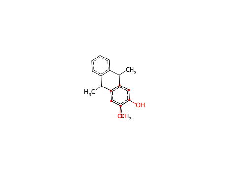 Cc1cc2c(cc1O)C1(C)c3ccccc3C2(C)c2cc(O)ccc21